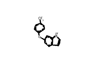 FC(F)(F)c1ccc(Oc2ccc3c(c2)BC=C3)cc1